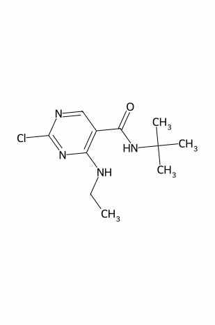 CCNc1nc(Cl)ncc1C(=O)NC(C)(C)C